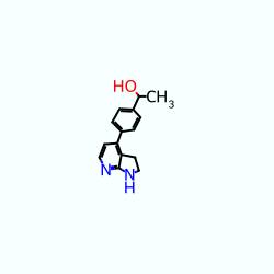 CC(O)c1ccc(-c2ccnc3c2CCN3)cc1